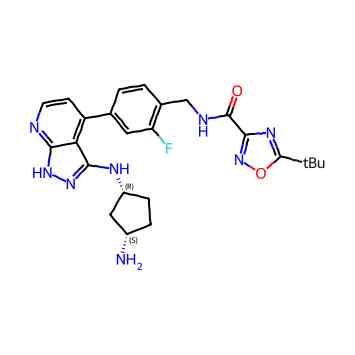 CC(C)(C)c1nc(C(=O)NCc2ccc(-c3ccnc4[nH]nc(N[C@@H]5CC[C@H](N)C5)c34)cc2F)no1